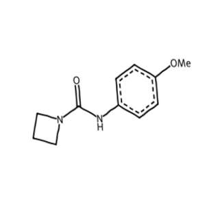 COc1ccc(NC(=O)N2CCC2)cc1